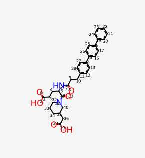 O=C(O)CCC(NC(=O)CCc1ccc(-c2ccc(-c3ccccc3)cc2)cc1)C(=O)N1CCCC(CC(=O)O)C1